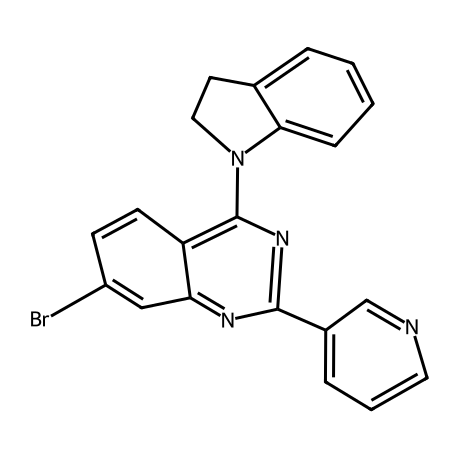 Brc1ccc2c(N3CCc4ccccc43)nc(-c3cccnc3)nc2c1